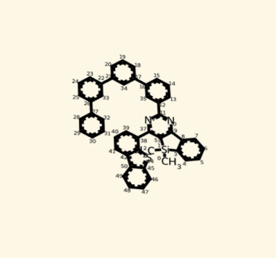 C[Si]1(C)c2ccccc2-c2nc(-c3cccc(-c4cccc(-c5cccc(-c6ccccc6)c5)c4)c3)nc(-c3cccc4c3sc3ccccc34)c21